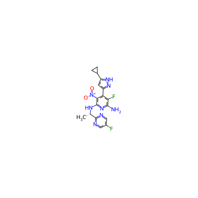 C[C@H](Nc1nc(N)c(F)c(-c2cc(C3CC3)[nH]n2)c1[N+](=O)[O-])c1ncc(F)cn1